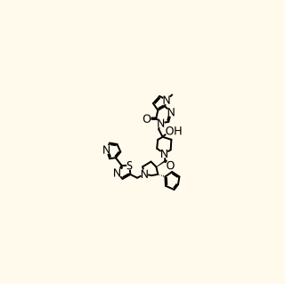 Cn1ccc2c(=O)n(CC3(O)CCN(C(=O)[C@@H]4CCN(Cc5cnc(-c6cccnc6)s5)C[C@H]4c4ccccc4)CC3)cnc21